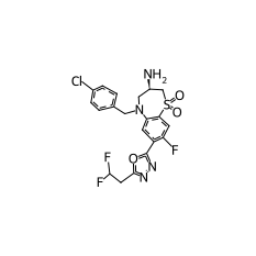 N[C@@H]1CN(Cc2ccc(Cl)cc2)c2cc(-c3nnc(CC(F)F)o3)c(F)cc2S(=O)(=O)C1